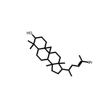 C/C(=C\CC(C)C1CCC2(C)C3CCC4C(C)(C)C(O)CCC45CC35CCC12C)C(C)C